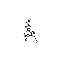 CC(C)Oc1ccc(-c2cn(COCC[Si](C)(C)C)c3nccc(Oc4c(F)cc(NC(=O)NCC5(C#N)COC5)cc4F)c23)cc1C#N